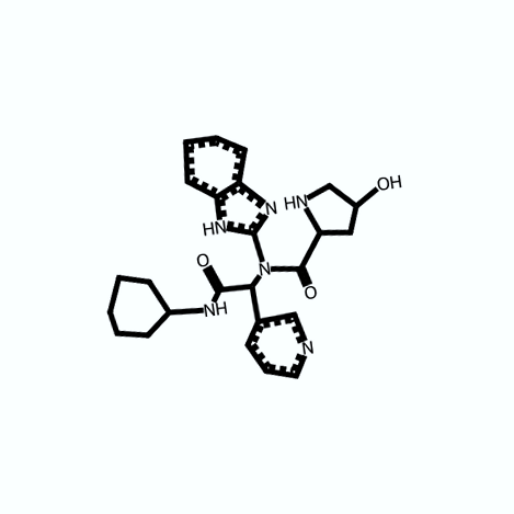 O=C(NC1CCCCC1)C(c1cccnc1)N(C(=O)C1CC(O)CN1)c1nc2ccccc2[nH]1